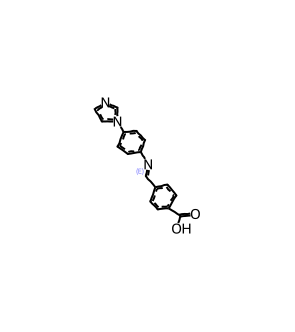 O=C(O)c1ccc(/C=N/c2ccc(-n3ccnc3)cc2)cc1